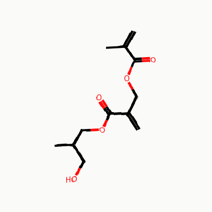 C=C(C)C(=O)OCC(=C)C(=O)OCC(C)CO